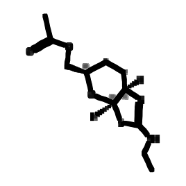 CCNC1=N[C@@H]2[C][C][C@H](COC(C)=O)O[C@@H]2S1